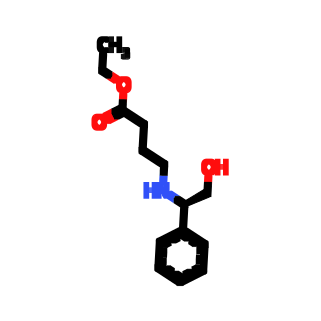 CCOC(=O)CCCN[C@@H](CO)c1ccccc1